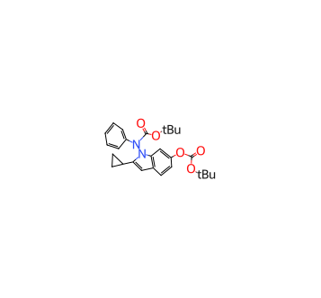 CC(C)(C)OC(=O)Oc1ccc2cc(C3CC3)n(N(C(=O)OC(C)(C)C)c3ccccc3)c2c1